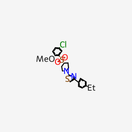 CCc1ccc(-c2csc(N3CCC(S(=O)(=O)c4cc(Cl)ccc4OC)CC3)n2)cc1